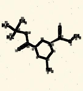 COC(=O)[C@@H]1CC(N)CN(C(=O)OC(C)(C)C)C1